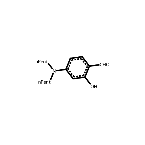 CCCCCN(CCCCC)c1ccc(C=O)c(O)c1